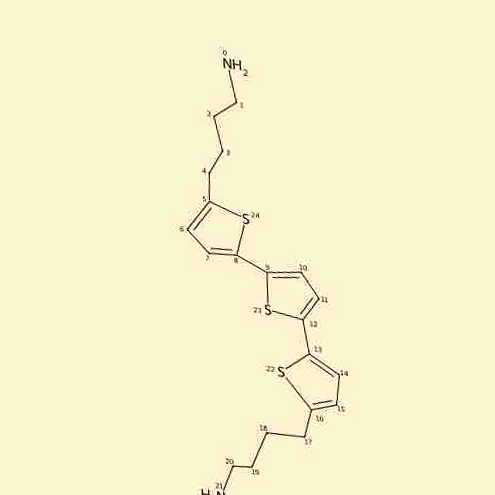 NCCCCc1ccc(-c2ccc(-c3ccc(CCCCN)s3)s2)s1